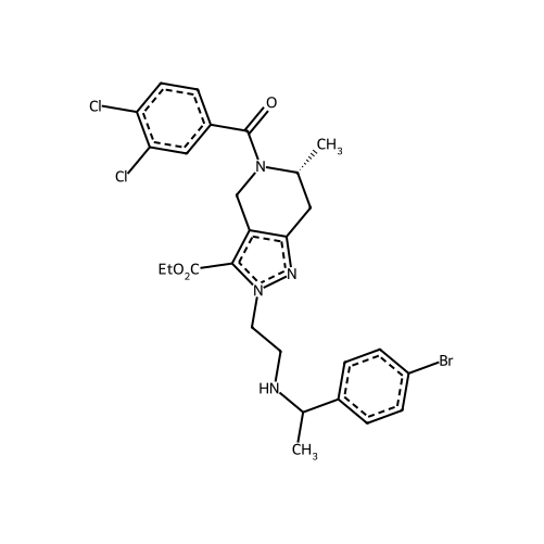 CCOC(=O)c1c2c(nn1CCNC(C)c1ccc(Br)cc1)C[C@@H](C)N(C(=O)c1ccc(Cl)c(Cl)c1)C2